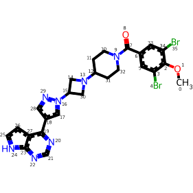 COc1c(Br)cc(C(=O)N2CCC(N3CC(n4cc(-c5ncnc6[nH]ccc56)cn4)C3)CC2)cc1Br